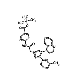 Cc1cccc(-c2nn(CC(=O)Nc3ccc(C(=O)OC(C)(C)C)cn3)cc2-c2ccnc3ccccc23)n1